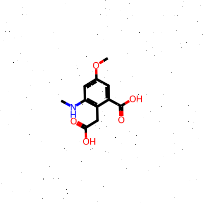 CNc1cc(OC)cc(C(=O)O)c1CC(=O)O